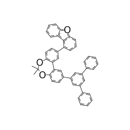 CC1(C)Oc2ccc(-c3cc(-c4ccccc4)cc(-c4ccccc4)c3)cc2-c2cc(-c3cccc4oc5ccccc5c34)ccc2O1